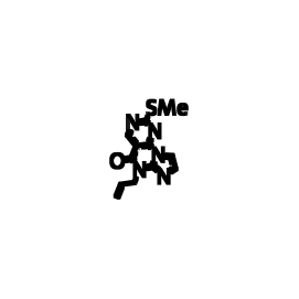 C=CCn1c(=O)c2cnc(SC)nc2n2ccnc12